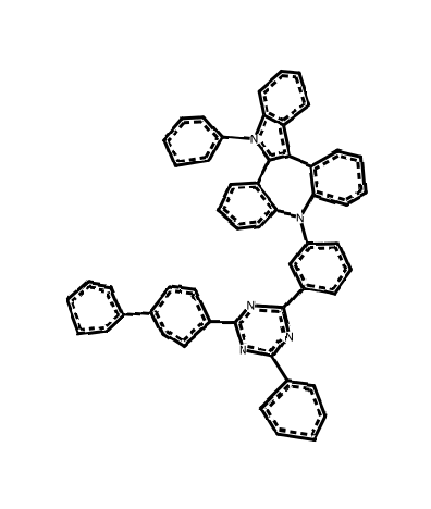 c1ccc(-c2ccc(-c3nc(-c4ccccc4)nc(-c4cccc(N5c6ccccc6-c6c(n(-c7ccccc7)c7ccccc67)-c6ccccc65)c4)n3)cc2)cc1